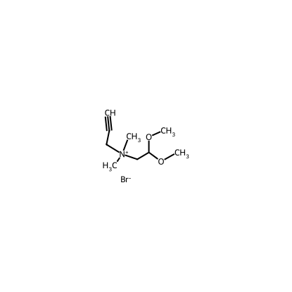 C#CC[N+](C)(C)CC(OC)OC.[Br-]